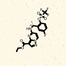 CCOC(=O)c1cnn2ccc(N[C@H](C)c3cc(F)ccc3OS(=O)(=O)C(F)(F)F)nc12